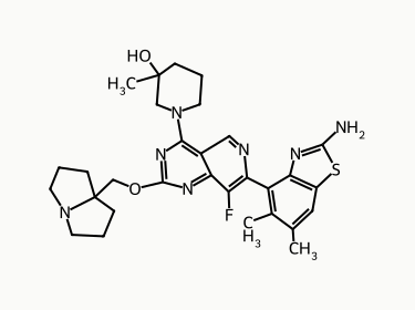 Cc1cc2sc(N)nc2c(-c2ncc3c(N4CCCC(C)(O)C4)nc(OCC45CCCN4CCC5)nc3c2F)c1C